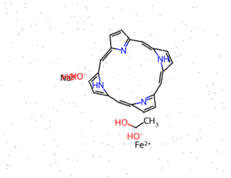 C1=Cc2cc3ccc(cc4nc(cc5ccc(cc1n2)[nH]5)C=C4)[nH]3.CCO.[Fe+2].[Na+].[OH-].[OH-].[OH-]